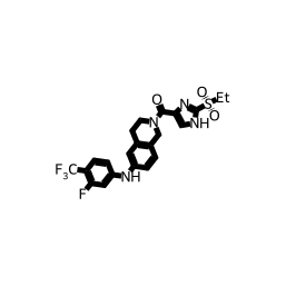 CCS(=O)(=O)c1nc(C(=O)N2CCc3cc(Nc4ccc(C(F)(F)F)c(F)c4)ccc3C2)c[nH]1